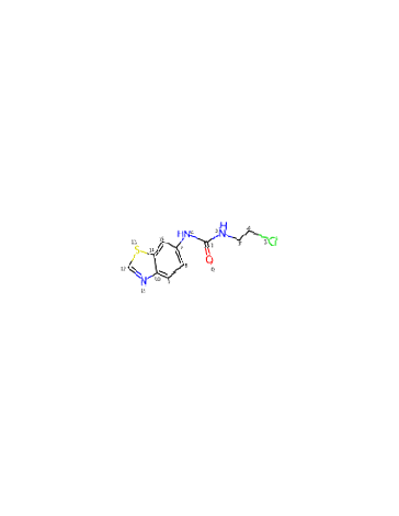 O=C(NCCCl)Nc1ccc2ncsc2c1